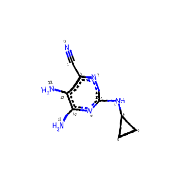 N#Cc1nc(NC2CC2)nc(N)c1N